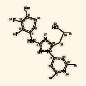 Cc1cc(-n2nc(Nc3ccc(F)c(F)c3F)nc2CC(C)O)cc(C)n1